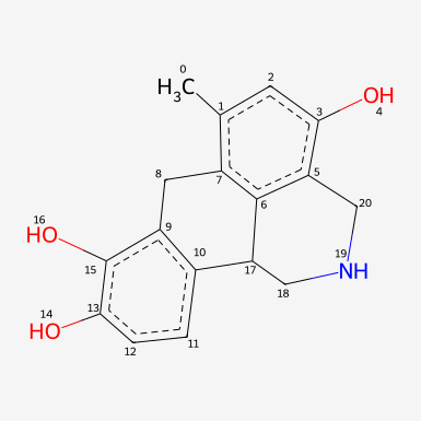 Cc1cc(O)c2c3c1Cc1c(ccc(O)c1O)C3CNC2